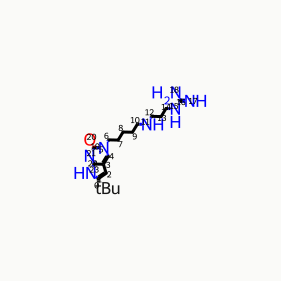 CC(C)(C)c1cc2cn(CCCCCNCCCNC(=N)N)c(=O)nc2[nH]1